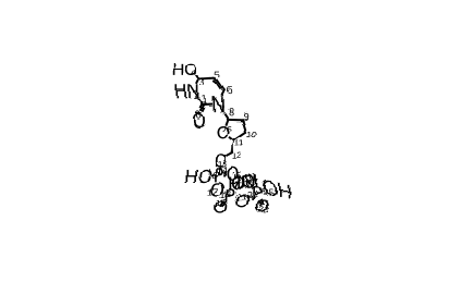 O=C1NC(O)C=CN1C1CC[C@@H](COP(=O)(O)OP(=O)(O)OP(=O)(O)O)O1